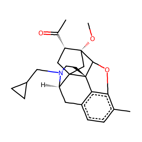 CO[C@]12CC3(C[C@@H]1C(C)=O)[C@H]1Cc4ccc(C)c5c4[C@@]3(CCN1CC1CC1)C2O5